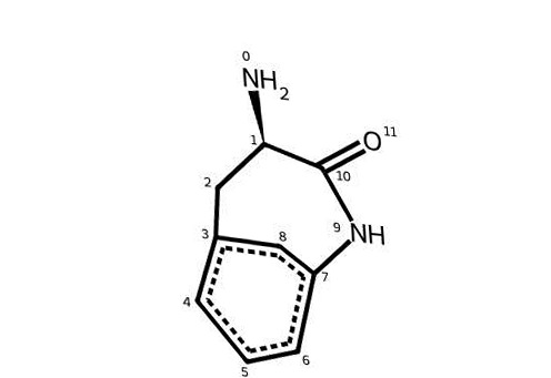 N[C@@H]1Cc2cccc(c2)NC1=O